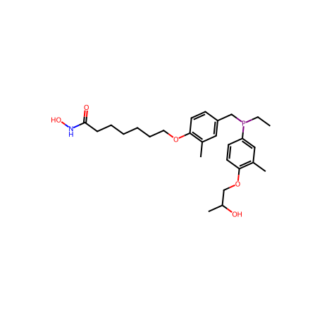 CCP(Cc1ccc(OCCCCCCC(=O)NO)c(C)c1)c1ccc(OCC(C)O)c(C)c1